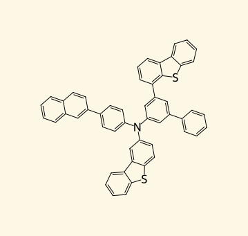 c1ccc(-c2cc(-c3cccc4c3sc3ccccc34)cc(N(c3ccc(-c4ccc5ccccc5c4)cc3)c3ccc4sc5ccccc5c4c3)c2)cc1